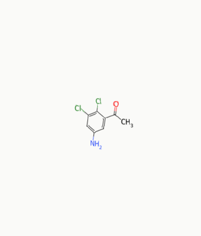 CC(=O)c1cc(N)cc(Cl)c1Cl